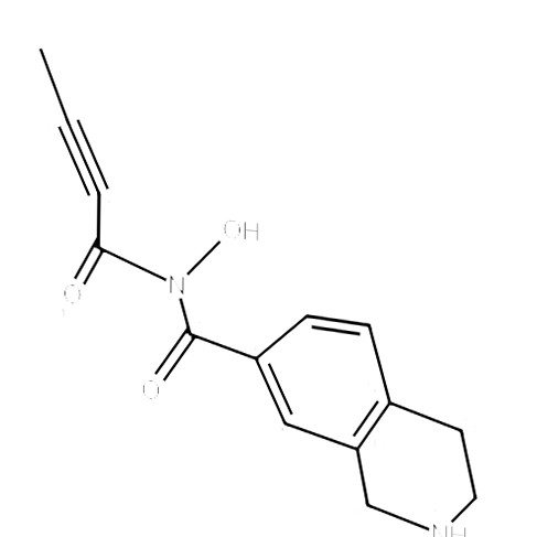 CC#CC(=O)N(O)C(=O)c1ccc2c(c1)CNCC2